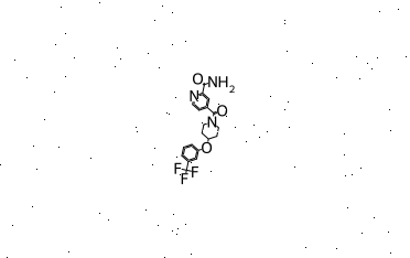 NC(=O)c1cc(C(=O)N2CCC(Oc3cccc(C(F)(F)F)c3)CC2)ccn1